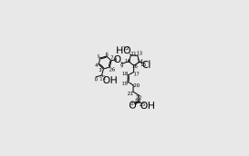 CC(O)c1cccc(OCC2C(O)CC(Cl)C2C/C=C\CCCC(=O)O)c1